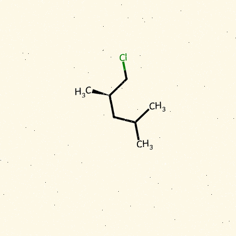 CC(C)C[C@@H](C)CCl